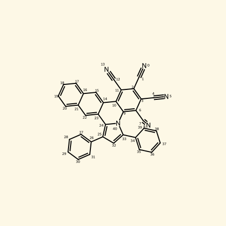 N#Cc1c(C#N)c(C#N)c2c(c1C#N)c1cc3ccccc3cc1c1c(-c3ccccc3)cc(-c3ccccc3)n12